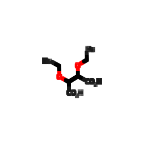 CCC(C)COC(C(=O)O)C(OCC(C)CC)C(=O)O